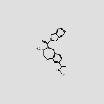 C[C@H]1COc2cc(C(=O)NO)ccc2CN1C(=O)N1Cc2ccccc2C1